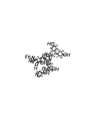 CCc1nnn([C@H]2C[C@@H](n3cnc4c(NCC(c5ccc(O)cc5)c5ccc(O)cc5)nc(N5CC[C@@H](NC(=O)Nc6ccncc6)C5)nc43)[C@H](O)[C@@H]2O)n1.Cl